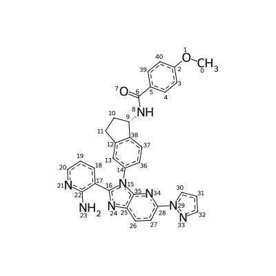 COc1ccc(C(=O)N[C@H]2CCc3cc(-n4c(-c5cccnc5N)nc5ccc(-n6cccn6)nc54)ccc32)cc1